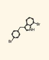 Brc1ccc(Cc2c[nH]c3c(Br)cccc23)cc1